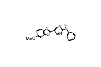 COc1ccc2nc(-c3cnc(Nc4ccccc4)nc3)oc2c1